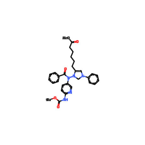 COC(=O)CCCCCC1=CN(c2ccccc2)CN1N(C(=O)c1ccccc1)c1ccc(NC(=O)OC(C)(C)C)nc1